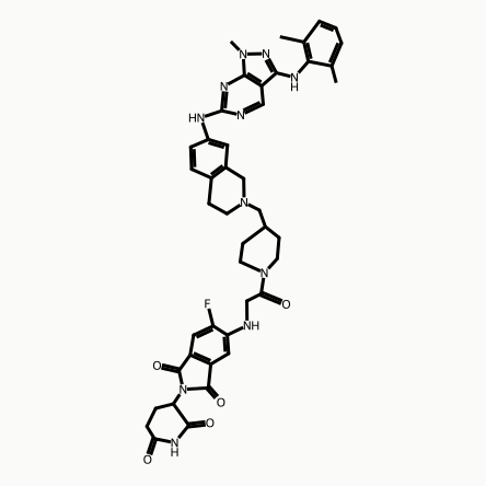 Cc1cccc(C)c1Nc1nn(C)c2nc(Nc3ccc4c(c3)CN(CC3CCN(C(=O)CNc5cc6c(cc5F)C(=O)N(C5CCC(=O)NC5=O)C6=O)CC3)CC4)ncc12